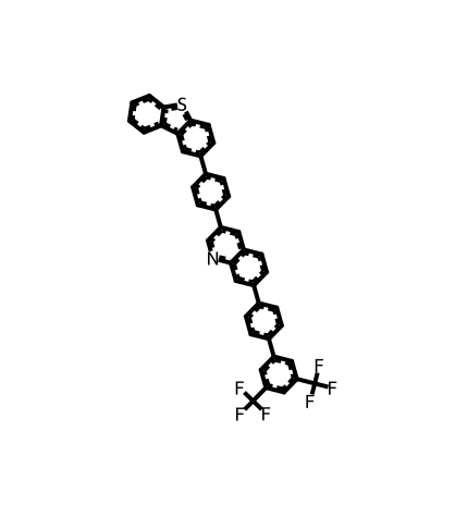 FC(F)(F)c1cc(-c2ccc(-c3ccc4cc(-c5ccc(-c6ccc7sc8ccccc8c7c6)cc5)cnc4c3)cc2)cc(C(F)(F)F)c1